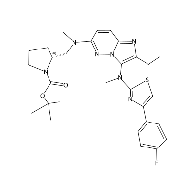 CCc1nc2ccc(N(C)C[C@H]3CCCN3C(=O)OC(C)(C)C)nn2c1N(C)c1nc(-c2ccc(F)cc2)cs1